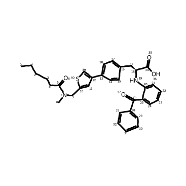 CCCCCC(=O)N(C)Cc1cc(-c2ccc(C[C@H](Nc3ccccc3C(=O)c3ccccc3)C(=O)O)cc2)cs1